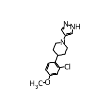 COc1ccc(C2CCN(c3cn[nH]c3)CC2)c(Cl)c1